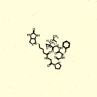 CC(C)C[C@H](NC(=O)[C@H](Cc1ccccc1)NC(=O)[C@@H]1CCCN1C(=O)CNC(=O)CCCC[C@@H]1SCC2NC(=O)NC21)C(=O)[C@@]1(C)CO1